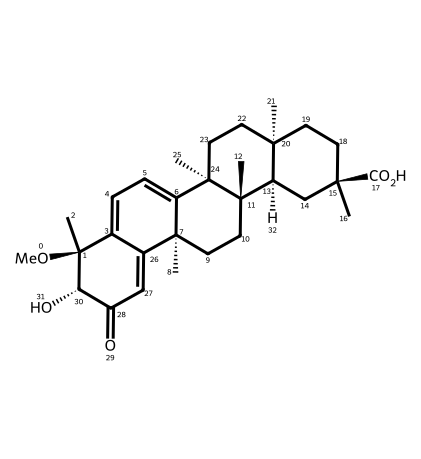 CO[C@@]1(C)C2=CC=C3[C@@](C)(CC[C@@]4(C)[C@@H]5C[C@](C)(C(=O)O)CC[C@]5(C)CC[C@]34C)C2=CC(=O)[C@@H]1O